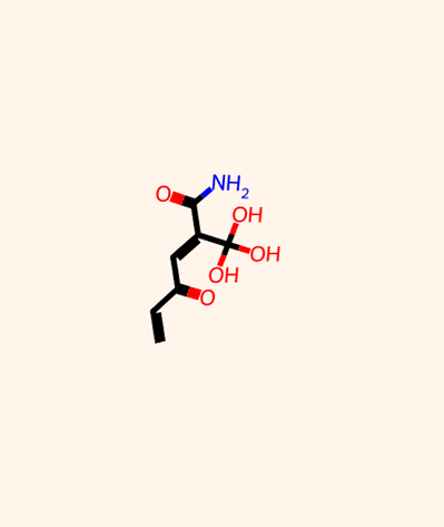 C=CC(=O)C=C(C(N)=O)C(O)(O)O